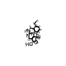 CCc1ccccc1CN(C)c1ncc(C(=O)O)c(C(F)(F)F)n1